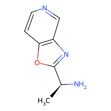 C[C@H](N)c1nc2cnccc2o1